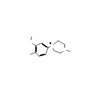 COc1cc(P2(=O)CCN(C)CC2)ccc1N